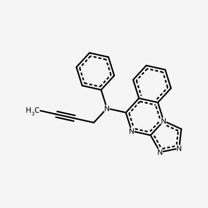 CC#CCN(c1ccccc1)c1nc2nncn2c2ccccc12